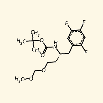 COCOCC[C@@H](Cc1cc(F)c(F)cc1F)NC(=O)OC(C)(C)C